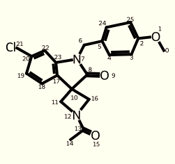 COc1ccc(CN2C(=O)C3(CN(C(C)=O)C3)c3ccc(Cl)cc32)cc1